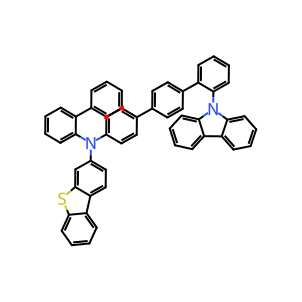 c1ccc(-c2ccccc2N(c2ccc(-c3ccc(-c4ccccc4-n4c5ccccc5c5ccccc54)cc3)cc2)c2ccc3c(c2)sc2ccccc23)cc1